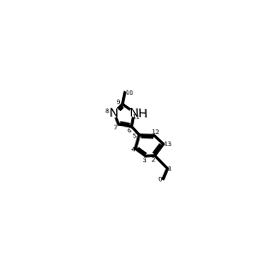 CCc1ccc(-c2cnc(C)[nH]2)cc1